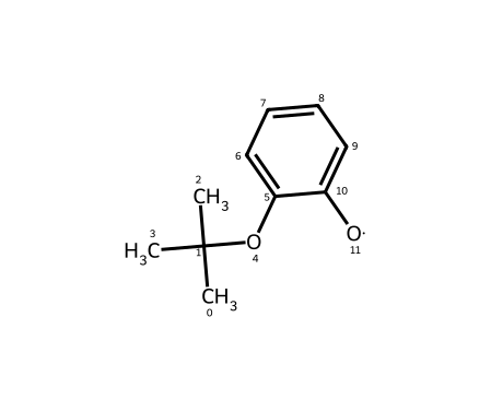 CC(C)(C)Oc1ccccc1[O]